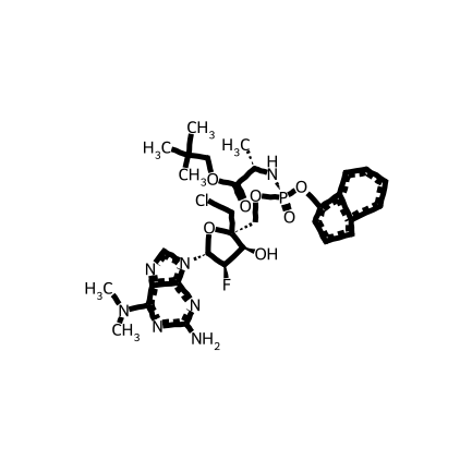 C[C@H](N[P@](=O)(OC[C@@]1(CCl)O[C@@H](n2cnc3c(N(C)C)nc(N)nc32)[C@H](F)[C@@H]1O)Oc1cccc2ccccc12)C(=O)OCC(C)(C)C